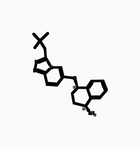 CC(C)(C)Cc1nnc2ccc(O[C@@H]3CC[C@H](N)c4ccccc43)cn12